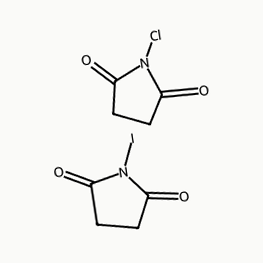 O=C1CCC(=O)N1Cl.O=C1CCC(=O)N1I